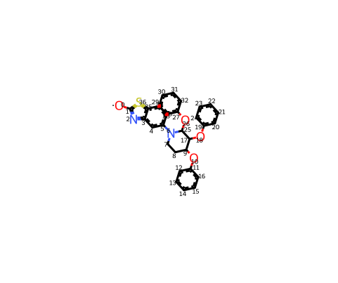 [O]c1nc2cc(N3CCC(Oc4ccccc4)C(Oc4ccccc4)C3Oc3ccccc3)ccc2s1